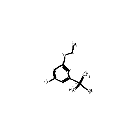 [CH2]c1cc(OCC)cc(C(C)(C)C)c1